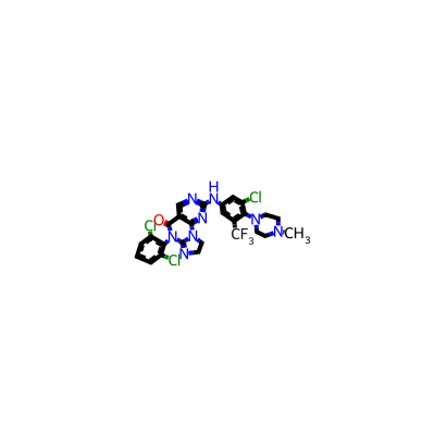 CN1CCN(c2c(Cl)cc(Nc3ncc4c(n3)N3CCN=C3N(c3c(Cl)cccc3Cl)C4=O)cc2C(F)(F)F)CC1